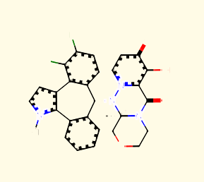 Cn1ccc2c1-c1ccccc1[C@@H](N1[C@@H]3COCCN3C(=O)c3c(O)c(=O)ccn31)c1ccc(F)c(F)c1-2